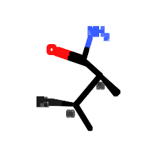 CC[C@H](C)[C@H](C)C(N)=O